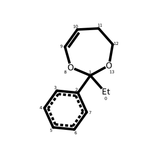 CCC1(c2ccccc2)OC=CCCO1